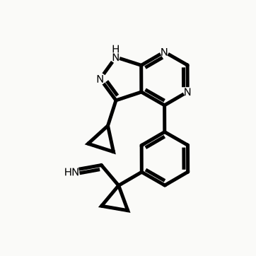 N=CC1(c2cccc(-c3ncnc4[nH]nc(C5CC5)c34)c2)CC1